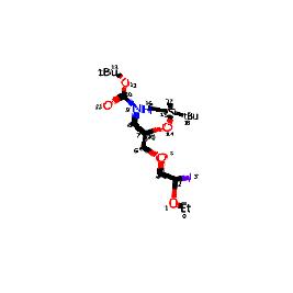 CCOC(I)COC[C@@H](CNC(=O)OC(C)(C)C)O[Si](C)(C)C(C)(C)C